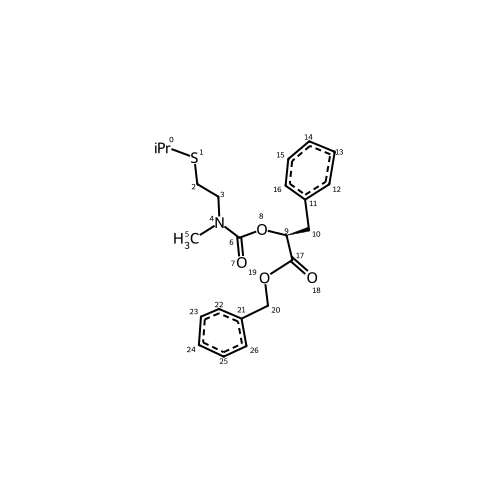 CC(C)SCCN(C)C(=O)O[C@@H](Cc1ccccc1)C(=O)OCc1ccccc1